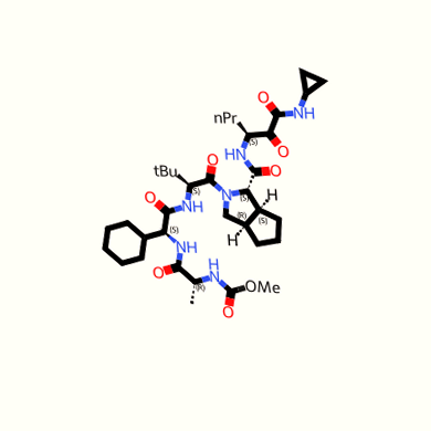 CCC[C@H](NC(=O)[C@@H]1[C@H]2CCC[C@H]2CN1C(=O)[C@@H](NC(=O)[C@@H](NC(=O)[C@@H](C)NC(=O)OC)C1CCCCC1)C(C)(C)C)C(=O)C(=O)NC1CC1